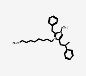 CCCCCCCCCCCCCCCCCC[n+]1c(CC(C)c2ccccc2)cn(CCCCCCCC)c1Cc1ccccc1